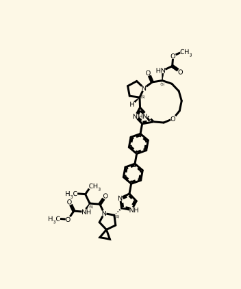 COC(=O)N[C@H]1CCCCOCc2[nH]c(nc2-c2ccc(-c3ccc(-c4c[nH]c([C@@H]5CC6(CC6)CN5C(=O)[C@@H](NC(=O)OC)C(C)C)n4)cc3)cc2)[C@@H]2CCCN2C1=O